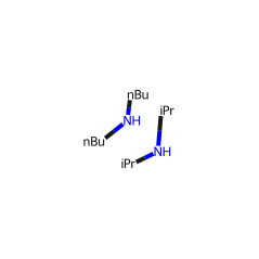 CC(C)NC(C)C.CCCCNCCCC